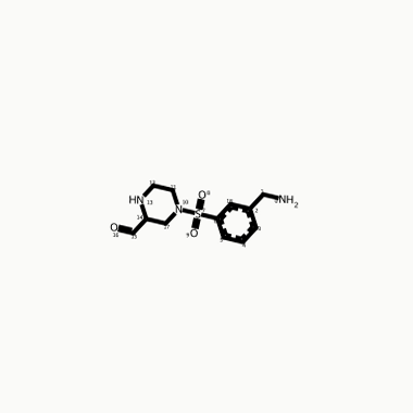 NCc1cccc(S(=O)(=O)N2CCNC(C=O)C2)c1